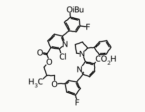 CC(C)COc1cc(F)cc(-c2ccc(C(=O)OCC(C)COc3cc(F)cc(-c4ccc(C(=O)O)c(N5CCCC5c5ccccc5)n4)c3)c(Cl)n2)c1